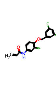 C=CC(=O)Nc1ccc(OCc2cc(F)cc(F)c2)c(F)c1